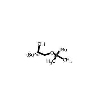 CC(C)(C)[C@H](O)CO[Si](C)(C)C(C)(C)C